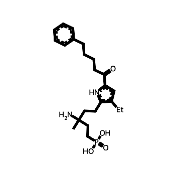 CCc1cc(C(=O)CCCCc2ccccc2)[nH]c1CCC(C)(N)CCP(=O)(O)O